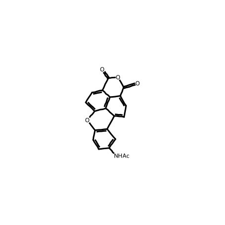 CC(=O)Nc1ccc2oc3ccc4c(=O)oc(=O)c5ccc(c2c1)c3c45